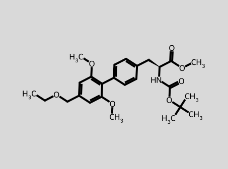 CCOCc1cc(OC)c(-c2ccc(C[C@H](NC(=O)OC(C)(C)C)C(=O)OC)cc2)c(OC)c1